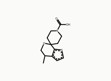 CC1COC2(CCN(C(=O)O)CC2)c2sccc21